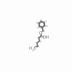 C=CCCC[C@H](O)OCc1ccccc1